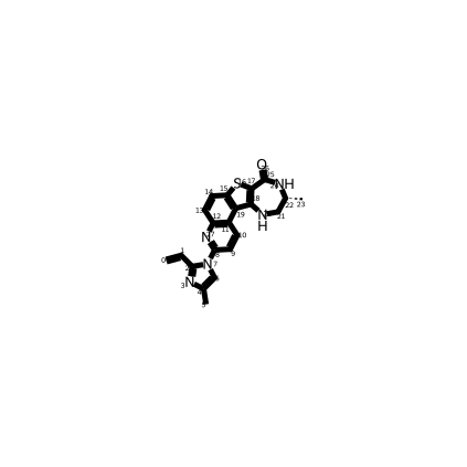 C=Cc1nc(C)cn1-c1ccc2c(ccc3sc4c(c32)NC[C@@H](C)NC4=O)n1